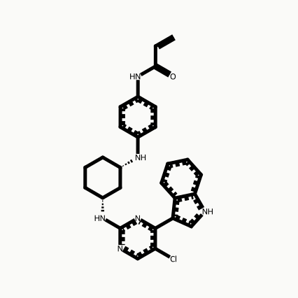 C=CC(=O)Nc1ccc(N[C@H]2CCC[C@@H](Nc3ncc(Cl)c(-c4c[nH]c5ccccc45)n3)C2)cc1